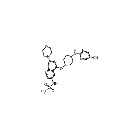 CS(=O)(=O)Nc1cnc2cc(N3CCOCC3)nc(OC3CCC(Nc4ncc(C#N)cn4)CC3)c2c1